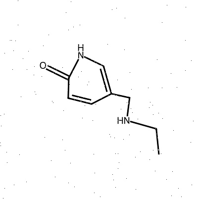 CCNCc1ccc(=O)[nH]c1